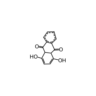 O=C1c2ccccc2C(=O)C2C(O)=CC=C(O)C12